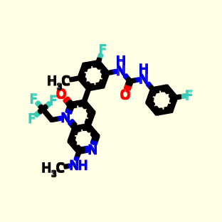 CNc1cc2c(cn1)cc(-c1cc(NC(=O)Nc3cccc(F)c3)c(F)cc1C)c(=O)n2CC(F)(F)F